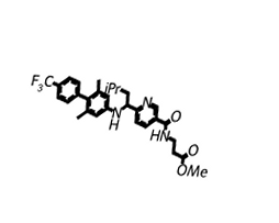 COC(=O)CCNC(=O)c1ccc(C(CC(C)C)Nc2cc(C)c(-c3ccc(C(F)(F)F)cc3)c(C)c2)nc1